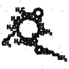 CCCCCC[C@H]1OCC(C)(C)NC(=O)[C@H](COc2cccc(CNCCCN)c2)NC(=O)[C@H](CN)NC(=O)[C@H](C2CCCCCC2)NC(=O)[C@H](CCC)N(C)C(=O)[C@@H]1C